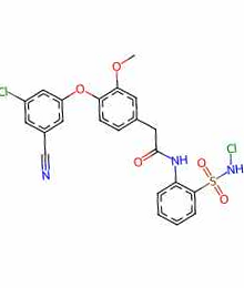 COc1cc(CC(=O)Nc2ccccc2S(=O)(=O)NCl)ccc1Oc1cc(Cl)cc(C#N)c1